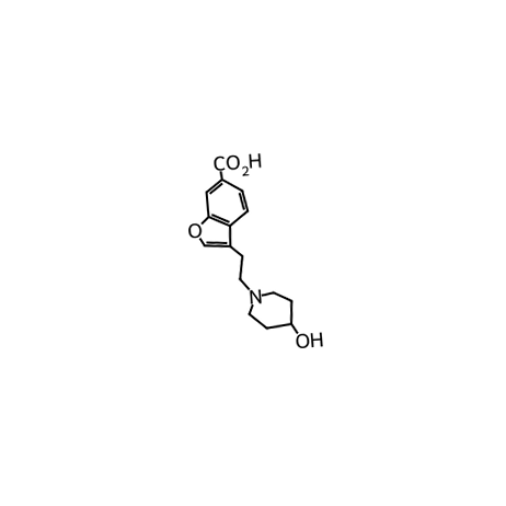 O=C(O)c1ccc2c(CCN3CCC(O)CC3)coc2c1